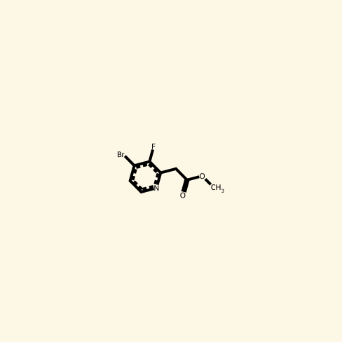 COC(=O)Cc1nccc(Br)c1F